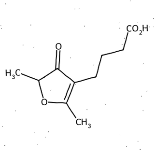 CC1=C(CCCC(=O)O)C(=O)C(C)O1